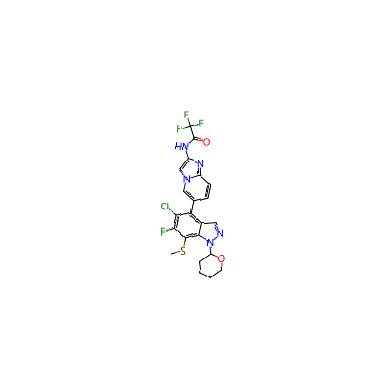 CSc1c(F)c(Cl)c(-c2ccc3nc(NC(=O)C(F)(F)F)cn3c2)c2cnn(C3CCCCO3)c12